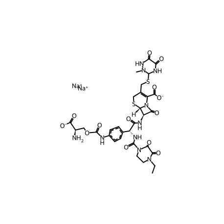 CCN1CCN(C(=O)N[C@@H](C(=O)N[C@@H]2C(=O)N3C(C(=O)[O-])=C(CSC4NC(=O)C(=O)NN4C)CS[C@@H]23)c2ccc(NC(=O)OC[C@@H](N)C(=O)[O-])cc2)C(=O)C1=O.[Na+].[Na+]